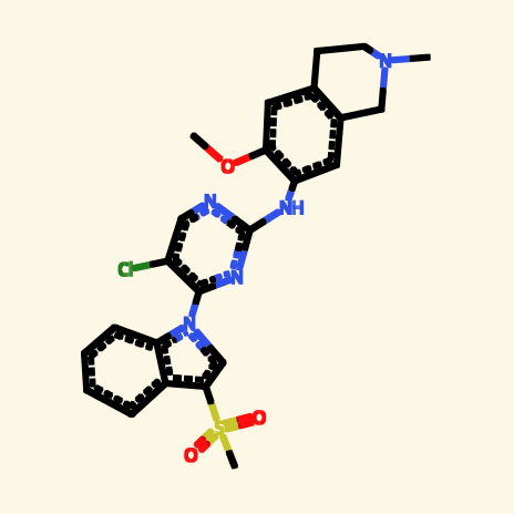 COc1cc2c(cc1Nc1ncc(Cl)c(-n3cc(S(C)(=O)=O)c4ccccc43)n1)CN(C)CC2